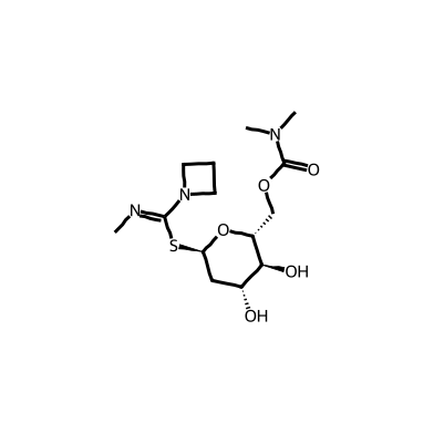 C/N=C(\S[C@@H]1C[C@@H](O)[C@H](O)[C@@H](COC(=O)N(C)C)O1)N1CCC1